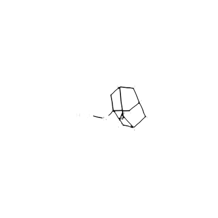 O=C(O)NC12CC3CC(C1)C(=O)C(C3)C2